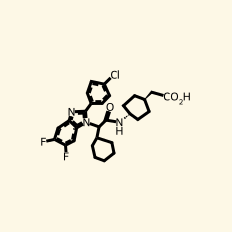 O=C(O)C[C@H]1CC[C@H](NC(=O)C(C2CCCCC2)n2c(-c3ccc(Cl)cc3)nc3cc(F)c(F)cc32)CC1